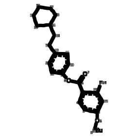 CCCCOc1ccc(C(=O)Oc2ccc(CCC3CC[CH]CC3)cc2)c(F)c1